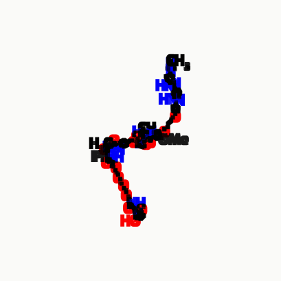 C=C1C[C@@H](C2OCCN2C(=O)OCc2ccc(NC(=O)[C@H](C)NC(=O)[C@@H](NC(=O)CCOCCOCCOCCOCCNC(=O)CCN3C(=O)C=CC3O)C(C)C)cc2)N(C(=O)c2cc(OC)c(OCCCCCOc3ccc(-c4nc5ccc(-c6nc7cc(N8CCN(C)CC8)ccc7[nH]6)cc5[nH]4)cc3)cc2N)C1